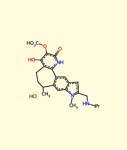 CC(C)NCc1cc2cc3c(cc2n1C)C(C)CCc1c-3[nH]c(=O)c(OC(=O)O)c1O.Cl